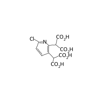 O=C(O)C(C(=O)O)c1ccc(Cl)nc1C(C(=O)O)C(=O)O